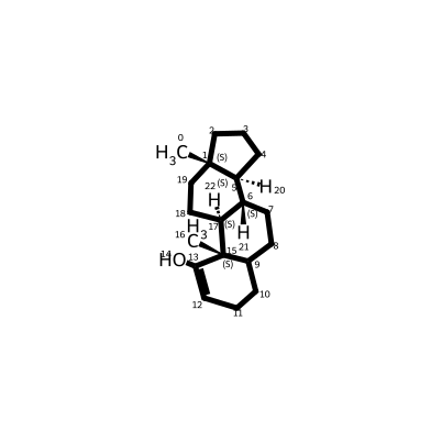 C[C@@]12CCC[C@H]1[C@@H]1CCC3CCC=C(O)[C@]3(C)[C@H]1CC2